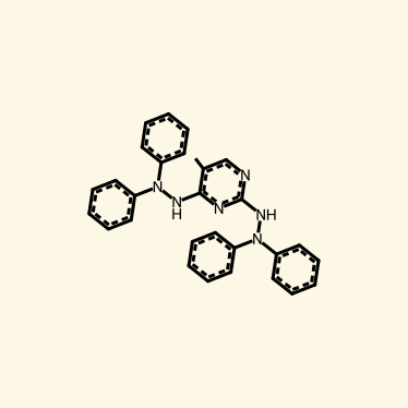 Cc1cnc(NN(c2ccccc2)c2ccccc2)nc1NN(c1ccccc1)c1ccccc1